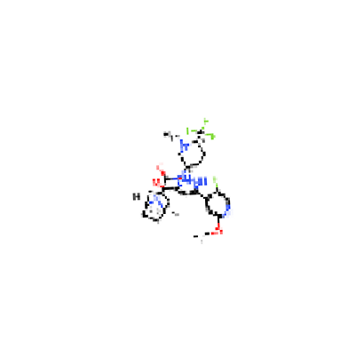 COc1cc(-c2cc(C(=O)N3[C@@H]4CC[C@H]3CC(C(=O)N[C@@H]3CC[C@@H](C(F)(F)F)N(C)C3)C4)n[nH]2)c(F)cn1